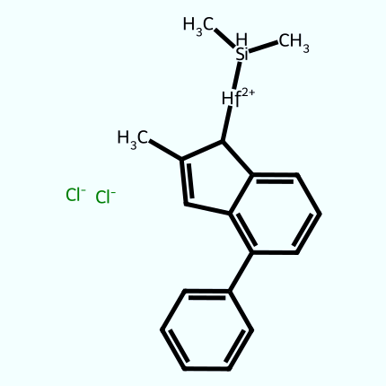 CC1=Cc2c(-c3ccccc3)cccc2[CH]1[Hf+2][SiH](C)C.[Cl-].[Cl-]